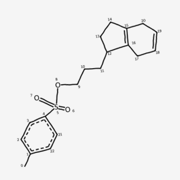 Cc1ccc(S(=O)(=O)OCCCC2CCC3=C2CC=CC3)cc1